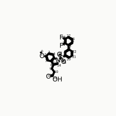 COc1ccc2c(c1)c(CCC(=O)O)cn2S(=O)(=O)c1cccc(-c2cccc(F)c2F)c1